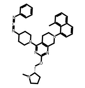 Cc1cccc2cccc(N3CCc4c(nc(OC[C@@H]5CCCN5C)nc4N4CCC(N=C=Nc5ccccc5)CC4)C3)c12